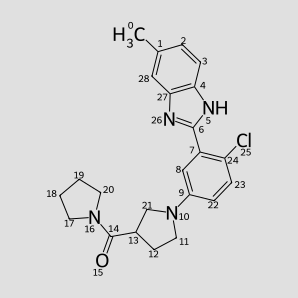 Cc1ccc2[nH]c(-c3cc(N4CCC(C(=O)N5CCCC5)C4)ccc3Cl)nc2c1